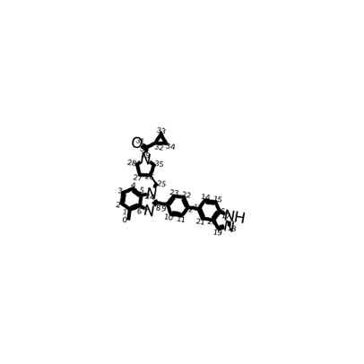 Cc1cccc2c1nc(-c1ccc(-c3ccc4[nH]ncc4c3)cc1)n2C[C@H]1CCN(C(=O)C2CC2)C1